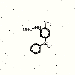 Nc1ccc([S+]([O-])c2ccccc2)cc1NC=O